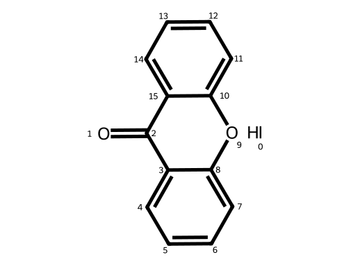 I.O=c1c2ccccc2oc2ccccc12